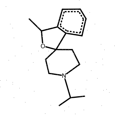 CC1OC2(CCN(C(C)C)CC2)c2ccccc21